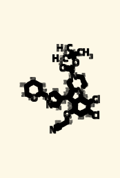 CC(C)(C)OC(=O)N1CCn2c(c(-c3cnn(C4CCCCO4)c3)c3c(OCC#N)cc(Cl)c(Cl)c32)C1